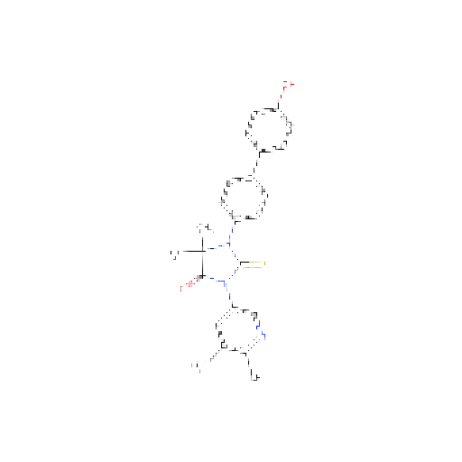 Cc1cc(N2C(=O)C(C)(C)N(c3ccc(-c4ccc(O)cc4)cc3)C2=S)cnc1C#N